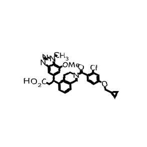 COc1cc(C(CC(=O)O)c2cccc3c2CCN(C(=O)c2ccc(OCC4CC4)cc2Cl)C3)cc2nnn(C)c12